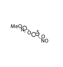 COc1ccc(COc2ccc3c(CC(=O)N=O)csc3c2)c(C)n1